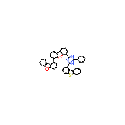 c1ccc(-c2nc(-c3cccc4c3oc3c(-c5cccc6oc7ccccc7c56)cccc34)nc(-c3cccc4sc5ccccc5c34)n2)cc1